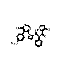 COc1ccc(-c2c(N)ncnc2N2CC[C@H]2c2nn3ccc(Cl)c3c(=O)n2-c2ccccc2)cn1